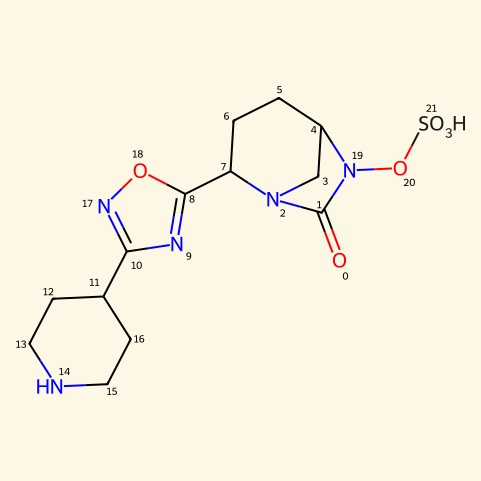 O=C1N2CC(CCC2c2nc(C3CCNCC3)no2)N1OS(=O)(=O)O